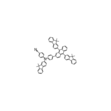 CC1(C)c2ccccc2-c2ccc(-c3c4ccccc4c(-c4ccc5c(c4)C(C)(C)c4ccccc4-5)c4cc(-c5ccc(N(c6ccc(C#N)cc6)c6ccc7c(c6)C(C)(C)c6ccccc6-7)cc5)ccc34)cc21